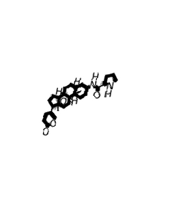 C[C@]12CCC(NC(=O)[C@H]3CCCN3)C[C@H]1CC[C@@H]1[C@@H]2CC[C@]2(C)[C@@H](c3ccc(=O)oc3)CC[C@]12O